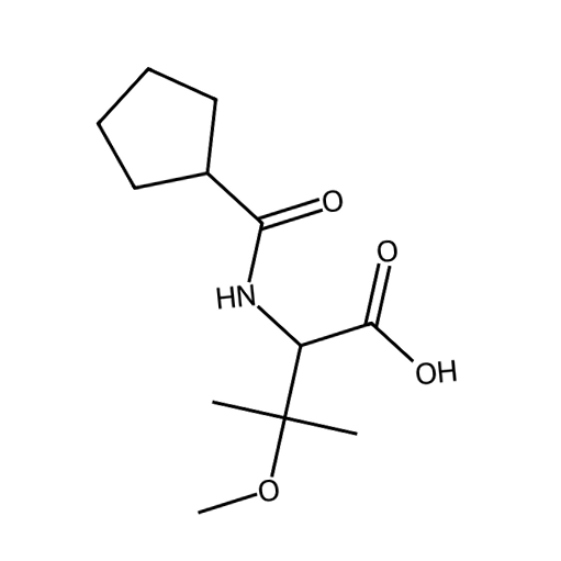 COC(C)(C)C(NC(=O)C1CCCC1)C(=O)O